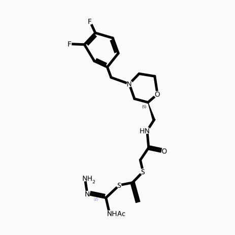 C=C(SCC(=O)NC[C@H]1CN(Cc2ccc(F)c(F)c2)CCO1)S/C(=N\N)NC(C)=O